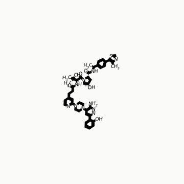 Cc1ncsc1-c1ccc([C@H](C)NC(=O)[C@@H]2C[C@@H](O)CN2C(=O)[C@@H](NC(=O)CCc2ccnc(N3CCN(c4cc(-c5ccccc5O)nnc4N)CC3)c2)C(C)(C)C)cc1